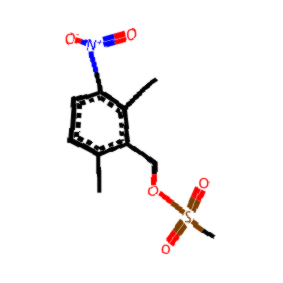 Cc1ccc([N+](=O)[O-])c(C)c1COS(C)(=O)=O